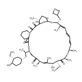 CO[C@@H]1C[C@H](C[C@@H](C)[C@@H]2CC(=O)[C@H](C)/C=C(\C)[C@@H](O)[C@@H](OC)C(=O)[C@H](C)C[C@H](C)/C=C/C=C/C=C(\C)[C@@H](OC3COC3)C[C@@H]3CC[C@@H](C)[C@@](O)(O3)C(=O)C(=O)N3CCCC[C@H]3C(=O)O2)CC[C@H]1O